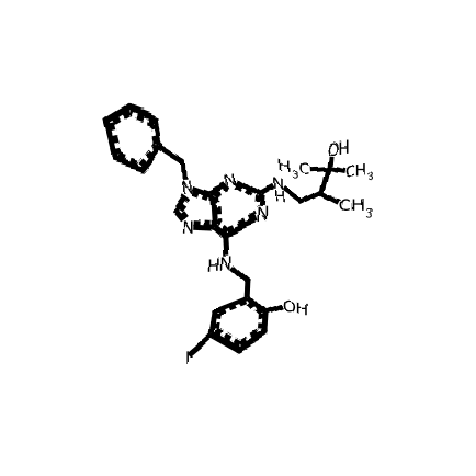 CC(CNc1nc(NCc2cc(I)ccc2O)c2ncn(Cc3ccccc3)c2n1)C(C)(C)O